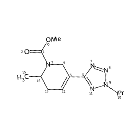 COC(=O)N1CC(c2nnn(C(C)C)n2)=CCC1C